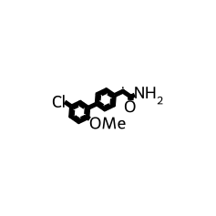 COc1ccc(Cl)cc1-c1ccc([CH]C(N)=O)cc1